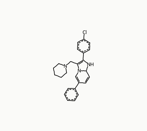 Clc1ccc(C2=C(CN3CCCCC3)N3C=C(c4ccccc4)C=CC3N2)cc1